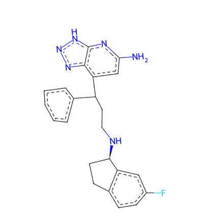 Nc1cc(C(CCN[C@@H]2CCc3ccc(F)cc32)c2ccccc2)c2nn[nH]c2n1